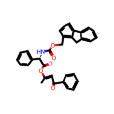 CC(=CC(=O)c1ccccc1)OC(=O)[C@@H](NC(=O)OCc1cccc2c1Cc1ccccc1-2)c1ccccc1